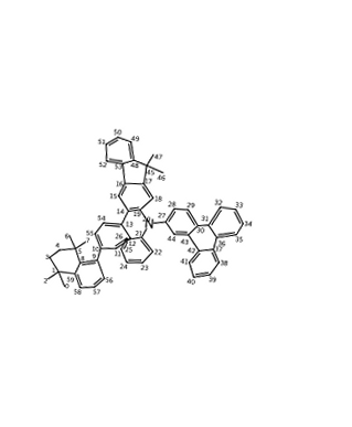 CC1(C)CCC(C)(C)c2c(-c3ccc(-c4cc5c(cc4N(c4ccccc4)c4ccc6c7ccccc7c7ccccc7c6c4)C(C)(C)c4ccccc4-5)cc3)cccc21